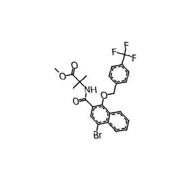 COC(=O)C(C)(C)NC(=O)c1cc(Br)c2ccccc2c1OCc1ccc(C(F)(F)F)cc1